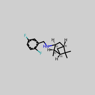 C[C@@H]1[C@@H](NCc2cc(F)ccc2F)C[C@H]2C[C@@H]1C2(C)C